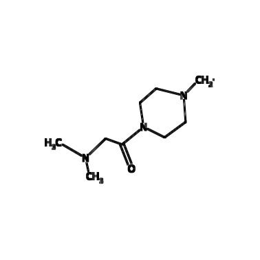 [CH2]N1CCN(C(=O)CN(C)C)CC1